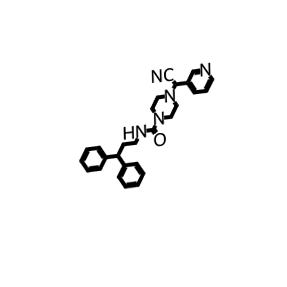 N#CC(c1cccnc1)N1CCN(C(=O)NCCC(c2ccccc2)c2ccccc2)CC1